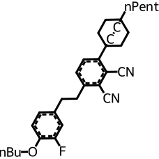 CCCCCC12CCC(c3ccc(CCc4ccc(OCCCC)c(F)c4)c(C#N)c3C#N)(CC1)CC2